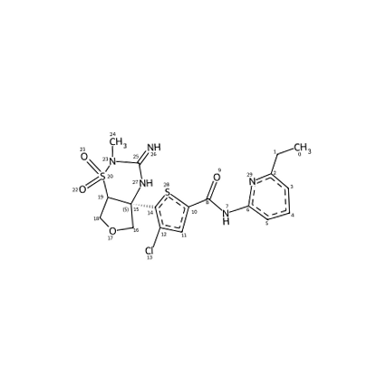 CCc1cccc(NC(=O)c2cc(Cl)c([C@]34COCC3S(=O)(=O)N(C)C(=N)N4)s2)n1